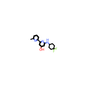 Cc1cccc(-c2cc(O)cc(NC3CCC(F)(F)CC3)n2)n1